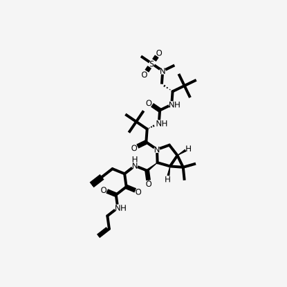 C#CCC(NC(=O)[C@@H]1[C@@H]2[C@H](CN1C(=O)[C@@H](NC(=O)N[C@H](CN(C)S(C)(=O)=O)C(C)(C)C)C(C)(C)C)C2(C)C)C(=O)C(=O)NCC=C